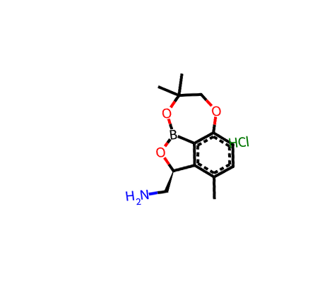 Cc1ccc2c3c1[C@@H](CN)OB3OC(C)(C)CO2.Cl